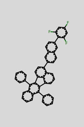 Fc1cc(F)c(-c2ccc3cc(-c4ccc5c6c(cccc46)-c4c-5c(-c5ccccc5)c5ccccc5c4-c4ccccc4)ccc3c2)c(F)c1